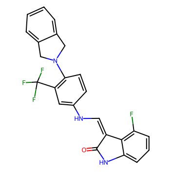 O=C1Nc2cccc(F)c2C1=CNc1ccc(N2Cc3ccccc3C2)c(C(F)(F)F)c1